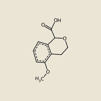 COc1cccc2c1CCOC2C(=O)O